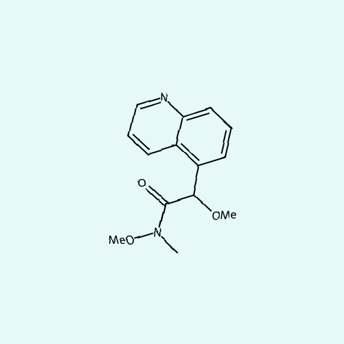 COC(C(=O)N(C)OC)c1cccc2ncccc12